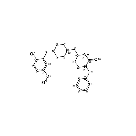 CCOc1ccc(Cl)c(CC2CCN(CC3CCN(Cc4ccccc4)C(=O)N3)CC2)c1